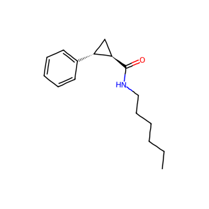 CCCCCCNC(=O)[C@@H]1C[C@H]1c1ccccc1